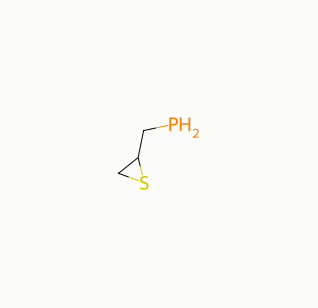 PCC1CS1